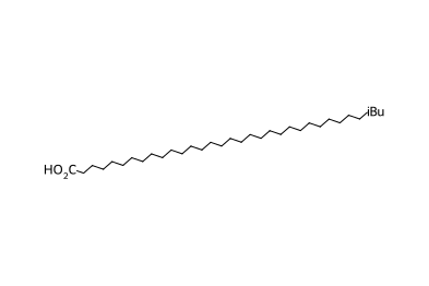 CCC(C)CCCCCCCCCCCCCCCCCCCCCCCCCCCCCC(=O)O